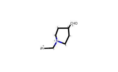 CC(C)CN1CCC(C=O)CC1